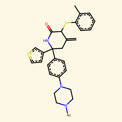 C=C1CC(c2ccc(N3CCN(C(C)=O)CC3)cc2)(c2ccsc2)NC(=O)C1Sc1ccccc1C